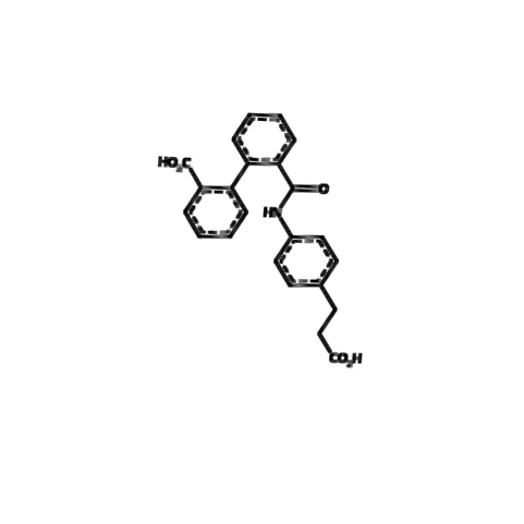 O=C(O)CCc1ccc(NC(=O)c2ccccc2-c2ccccc2C(=O)O)cc1